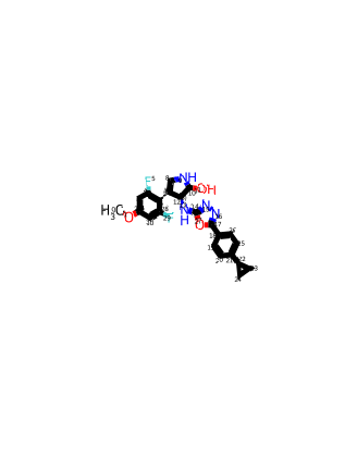 COc1cc(F)c([C@@H]2CNC(O)[C@H]2Nc2nnc(-c3ccc(C4CC4)cc3)o2)c(F)c1